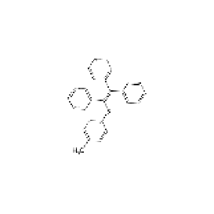 Cc1ccc(SC(=C(c2ccccc2)c2ccccc2)c2ccccc2)cc1